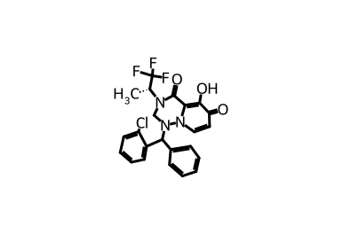 C[C@@H](N1CN(C(c2ccccc2)c2ccccc2Cl)n2ccc(=O)c(O)c2C1=O)C(F)(F)F